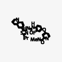 CNC(=O)c1cc(Oc2ccc(NC(=O)Nc3nc(C(C)C)sc3-c3ccc4ncccc4c3)c(F)c2)ccn1